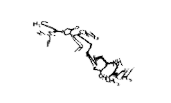 CC(C)NC1CN(CCC(C)NC2CN(C(C)C)CC2=O)CC1O